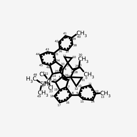 CCCC1(CC2=Cc3c(-c4ccc(C)cc4)cccc3[CH]2[Zr]([Cl])([Cl])([CH]2C(CC3(CCC)CC3)=Cc3c(-c4ccc(C)cc4)cccc32)[SiH](C)C)CC1